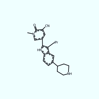 CC(C)c1c(-c2cc(C#N)c(=O)n(C)c2)[nH]c2ccc(C3CCNCC3)cc12